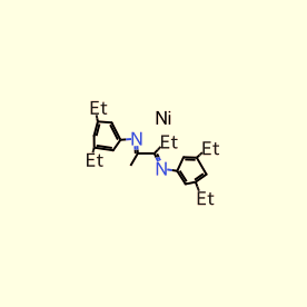 CCC(=N\c1cc(CC)cc(CC)c1)/C(C)=N/c1cc(CC)cc(CC)c1.[Ni]